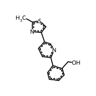 Cc1nc(-c2ccc(-c3ccccc3CO)nc2)cs1